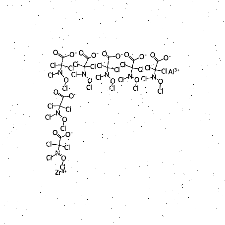 O=C([O-])C(Cl)(Cl)N(Cl)OCl.O=C([O-])C(Cl)(Cl)N(Cl)OCl.O=C([O-])C(Cl)(Cl)N(Cl)OCl.O=C([O-])C(Cl)(Cl)N(Cl)OCl.O=C([O-])C(Cl)(Cl)N(Cl)OCl.O=C([O-])C(Cl)(Cl)N(Cl)OCl.O=C([O-])C(Cl)(Cl)N(Cl)OCl.[Al+3].[Zr+4]